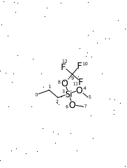 CCC[Si](OC)(OC)OC(F)(F)F